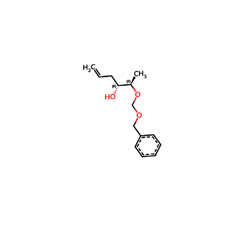 C=CC[C@@H](O)[C@@H](C)OCOCc1ccccc1